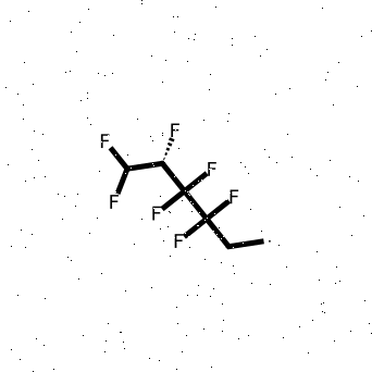 [CH2]CC(F)(F)C(F)(F)[C@@H](F)C(F)F